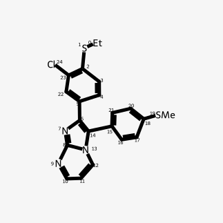 CCSc1ccc(-c2nc3ncccn3c2-c2ccc(SC)cc2)cc1Cl